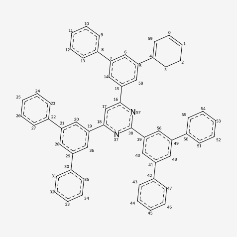 C1=CCCC(c2cc(-c3ccccc3)cc(-c3cc(-c4cc(-c5ccccc5)cc(-c5ccccc5)c4)nc(-c4cc(-c5ccccc5)cc(-c5ccccc5)c4)n3)c2)=C1